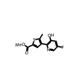 COC(=O)c1cc(-c2ncc(F)cc2O)c(C)s1